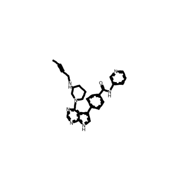 CC#CCN[C@@H]1CCCN(c2ncnc3[nH]cc(-c4ccc(C(=O)Nc5cccnc5)cc4)c23)C1